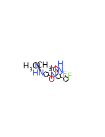 CN(C)CCNc1ccc(C(=O)Nc2ccc(-c3cccc(F)c3F)c3c2C(=O)NC3)cc1